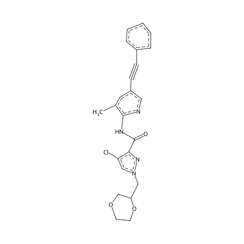 Cc1cc(C#Cc2ccccc2)cnc1NC(=O)c1nn(CC2COCCO2)cc1Cl